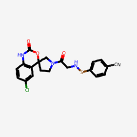 N#Cc1ccc(SNCC(=O)N2CCC3(C2)OC(=O)Nc2ccc(Cl)cc23)cc1